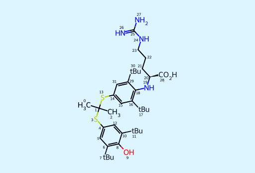 CC(C)(Sc1cc(C(C)(C)C)c(O)c(C(C)(C)C)c1)Sc1cc(C(C)(C)C)c(N[C@@H](CCCNC(=N)N)C(=O)O)c(C(C)(C)C)c1